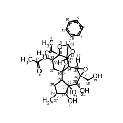 C=C(C)[C@@]12O[C@@]3(c4ccccc4)O[C@@H]1C1[C@@H]4O[C@]4(CO)[C@@H](O)[C@]4(O)C(O)[C@@H](C)CC4[C@]1(C[C@H]2OC(C)=O)O3